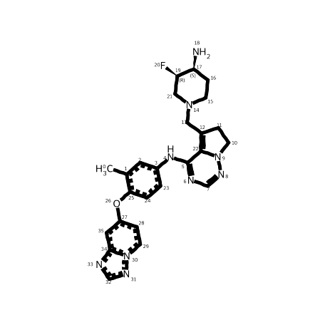 Cc1cc(NC2=NC=NN3CCC(CN4CC[C@H](N)[C@H](F)C4)=C23)ccc1Oc1ccn2ncnc2c1